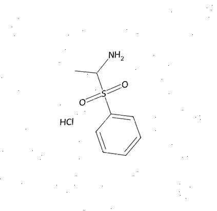 CC(N)S(=O)(=O)c1ccccc1.Cl